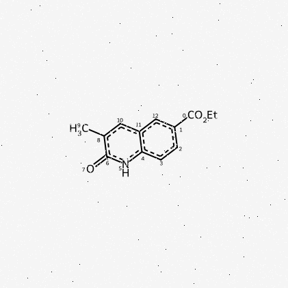 CCOC(=O)c1ccc2[nH]c(=O)c(C)cc2c1